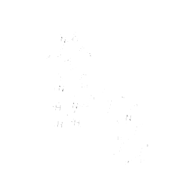 [2H]C([2H])([2H])n1cc(CC2CCN(Cc3ccccc3)CC2)c2cc(-c3c(C)noc3C)cnc21